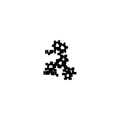 CCc1cccc2cccc(Cn3cnc4c(OCC56CCCN5CCC6)nc(N5CCCC(C)(O)C5)nc43)c12